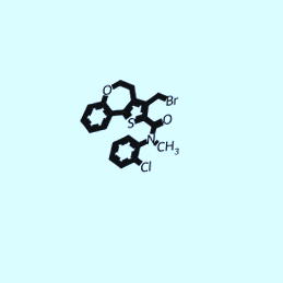 CN(C(=O)c1sc2c(c1CBr)CCOc1ccccc1-2)c1ccccc1Cl